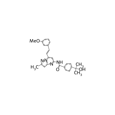 COc1cccc(/C=C/c2cc(NC(=O)c3ccc(C(C)(C)O)cc3)nc3cc(C)nn23)c1